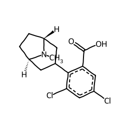 CN1[C@@H]2CC[C@@H]1CC(c1c(Cl)cc(Cl)cc1C(=O)O)C2